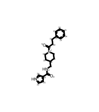 O=C(NCC1CCN(C(=O)CCc2ccccc2)CC1)c1cc[nH]c1